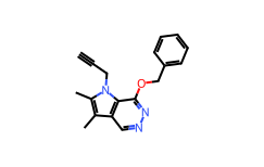 C#CCn1c(C)c(C)c2cnnc(OCc3ccccc3)c21